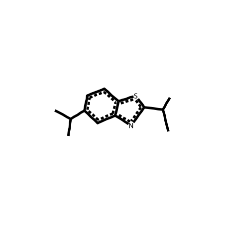 CC(C)c1ccc2sc(C(C)C)nc2c1